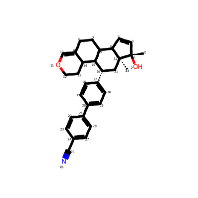 C[C@]1(O)C=CC2C3CCC4=COCCC4C3[C@@H](c3ccc(-c4ccc(C#N)cc4)cc3)C[C@@]21C